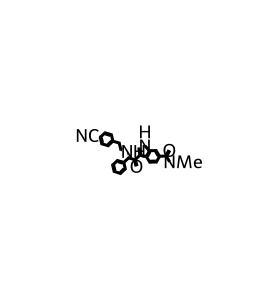 CNC(=O)c1ccc2c(C(=O)[C@@H](NCCc3ccc(C#N)cc3)c3ccccc3)c[nH]c2c1